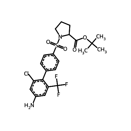 CC(C)(C)OC(=O)C1CCCN1S(=O)(=O)c1ccc(-c2c(Cl)cc(N)cc2C(F)(F)F)cc1